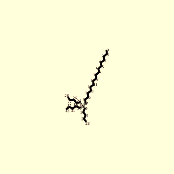 CCCCCCCCCCCCCCCCCC[N+](CCCCC)(CCCCC)CCCCC